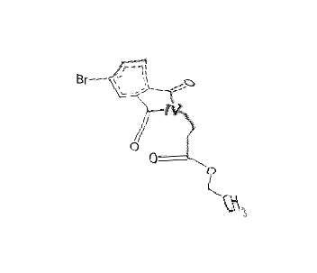 CCOC(=O)CN1C(=O)c2ccc(Br)cc2C1=O